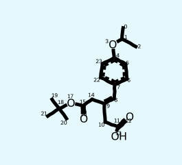 CC(C)Oc1ccc(C=C(CC(=O)O)CC(=O)OC(C)(C)C)cc1